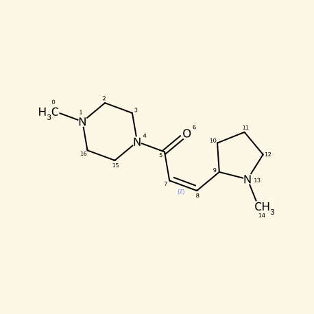 CN1CCN(C(=O)/C=C\C2CCCN2C)CC1